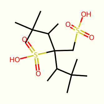 CC(C(C)(C)C)C(CS(=O)(=O)O)(C(C)C(C)(C)C)S(=O)(=O)O